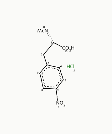 CN[C@@H](Cc1ccc([N+](=O)[O-])cc1)C(=O)O.Cl